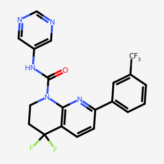 O=C(Nc1cncnc1)N1CCC(F)(F)c2ccc(-c3cccc(C(F)(F)F)c3)nc21